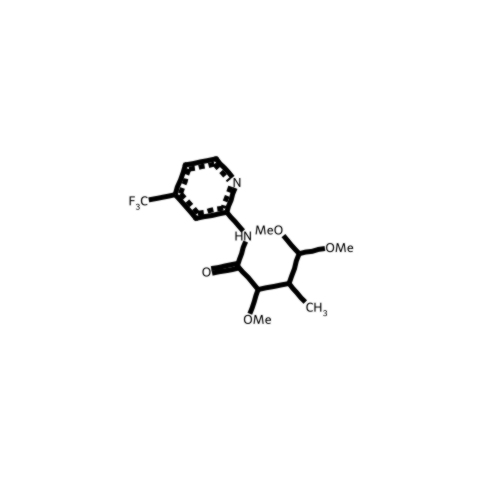 COC(OC)C(C)C(OC)C(=O)Nc1cc(C(F)(F)F)ccn1